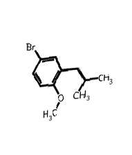 COc1ccc(Br)cc1CC(C)C